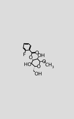 CO[C@H]1O[C@H](CO)[C@@H](O)[C@H](OC(=O)c2ccccc2F)[C@H]1O